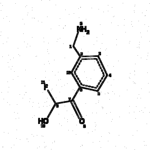 NCc1cccc(C(=O)C(O)F)c1